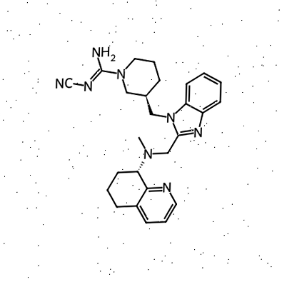 CN(Cc1nc2ccccc2n1C[C@@H]1CCCN(C(N)=NC#N)C1)[C@H]1CCCc2cccnc21